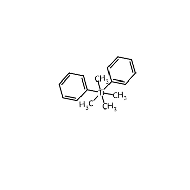 [CH3][Ti]([CH3])([CH3])([CH3])([c]1ccccc1)[c]1ccccc1